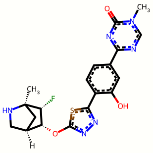 Cn1cnc(-c2ccc(-c3nnc(O[C@@H]4[C@H]5CN[C@](C)(C5)[C@@H]4F)s3)c(O)c2)nc1=O